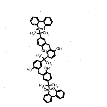 CC(C)(c1ccc(O)c(Cc2cc(C(C)(C)P3(=O)Oc4ccccc4-c4ccccc43)ccc2O)c1)c1ccc(O)c(Cc2cc(C(C)(C)P3(=O)Oc4ccccc4-c4ccccc43)ccc2O)c1